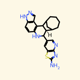 Nc1nc2ncc(C3Nc4ccc5[nH]ncc5c4C4C5CCCCC(C5)[C@@H]34)cc2s1